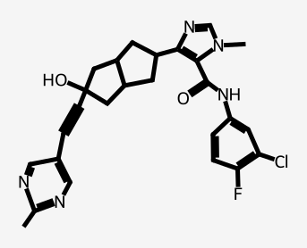 Cc1ncc(C#CC2(O)CC3CC(c4ncn(C)c4C(=O)Nc4ccc(F)c(Cl)c4)CC3C2)cn1